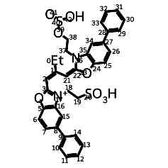 CCC(=Cc1oc2ccc(-c3ccccc3)cc2[n+]1CCS(=O)(=O)O)C=C1Oc2ccc(-c3ccccc3)cc2N1CCOS(=O)O